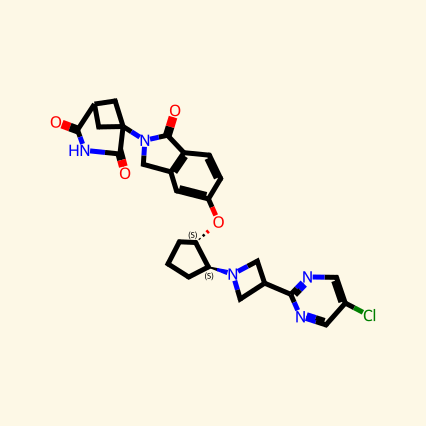 O=C1NC(=O)C2(N3Cc4cc(O[C@H]5CCC[C@@H]5N5CC(c6ncc(Cl)cn6)C5)ccc4C3=O)CC1C2